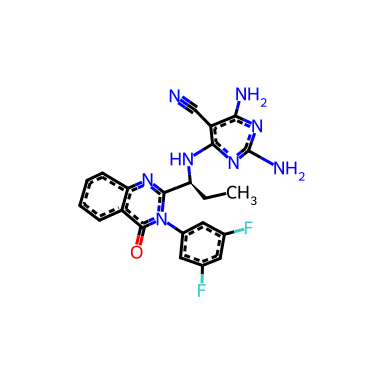 CC[C@H](Nc1nc(N)nc(N)c1C#N)c1nc2ccccc2c(=O)n1-c1cc(F)cc(F)c1